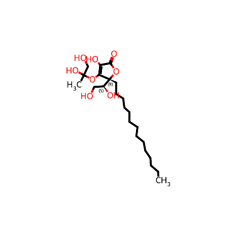 CCCCCCCCCCCCCC[C@]1([C@@H](O)CO)OC(=O)C(O)=C1OC(C)(O)CO